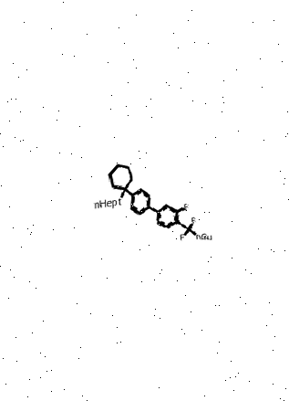 CCCCCCCC1(c2ccc(-c3ccc(C(F)(F)CCCC)c(F)c3)cc2)CCCCC1